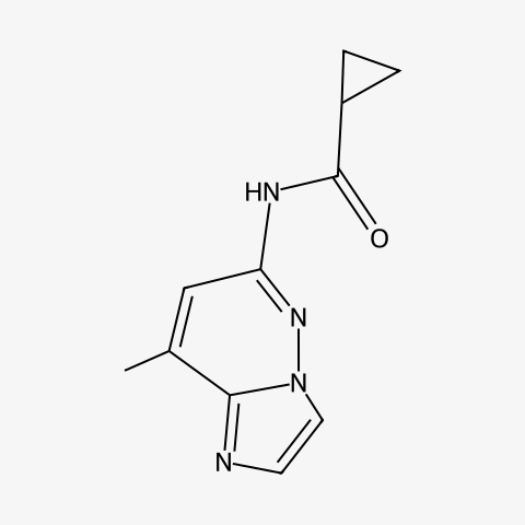 Cc1cc(NC(=O)C2CC2)nn2ccnc12